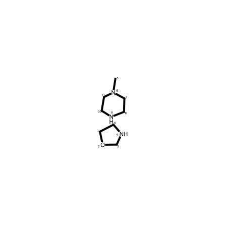 C1COCN1.CN1CCNCC1